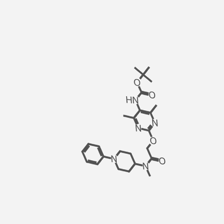 Cc1nc(OCC(=O)N(C)C2CCN(c3ccccc3)CC2)nc(C)c1NC(=O)OC(C)(C)C